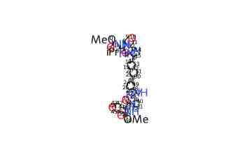 COC(=O)N[C@H](C(=O)N1CCOC[C@H]1c1ncc(-c2ccc3cc(-c4ccc5nc([C@@H]6CCCN6C(=O)[C@@H](NC(=O)OC)C6CCOCC6)[nH]c5c4)ccc3c2)[nH]1)C(C)C